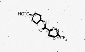 O=C(NC1CCN(C(=O)O)CC1)c1ccc(C(F)(F)F)nn1